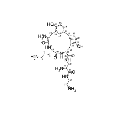 NCCC[C@@H]1NC(=O)[C@@H](N)Cc2cc(ccc2O)-c2ccc(O)c(c2)C[C@@H](C(=O)NC[C@H](N)C(=O)NCCN)NC1=O